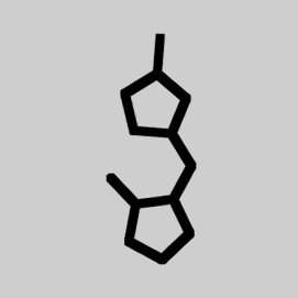 CC1CCC(CC2CCCC2C)C1